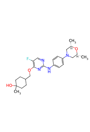 C[C@@H]1CN(c2ccc(Nc3ncc(F)c(OCC4CCC(C)(O)CC4)n3)cc2)C[C@H](C)O1